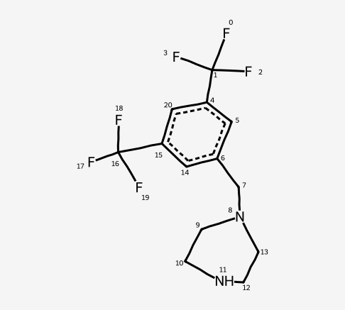 FC(F)(F)c1cc(CN2CCNCC2)cc(C(F)(F)F)c1